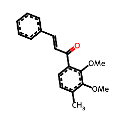 COc1c(C)ccc(C(=O)/C=C/c2ccccc2)c1OC